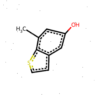 Cc1cc(O)cc2ccsc12